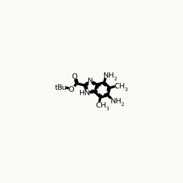 Cc1c(N)c(C)c2[nH]c(C(=O)OC(C)(C)C)nc2c1N